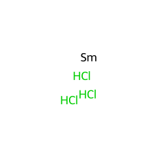 Cl.Cl.Cl.[Sm]